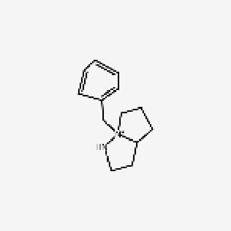 c1ccc(C[N+]23CCCC2CCN3)cc1